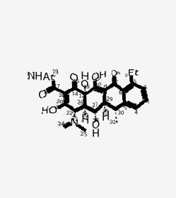 CCc1cccc2c1C(=O)C1=C(O)[C@]3(O)C(=O)C(C(=O)NC(C)=O)=C(O)[C@@H](N(C)C)[C@@H]3[C@@H](O)[C@@H]1[C@H]2C